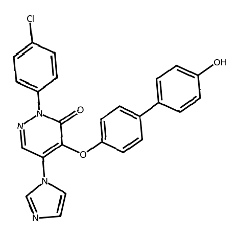 O=c1c(Oc2ccc(-c3ccc(O)cc3)cc2)c(-n2ccnc2)cnn1-c1ccc(Cl)cc1